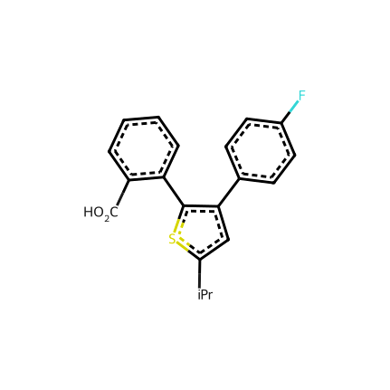 CC(C)c1cc(-c2ccc(F)cc2)c(-c2ccccc2C(=O)O)s1